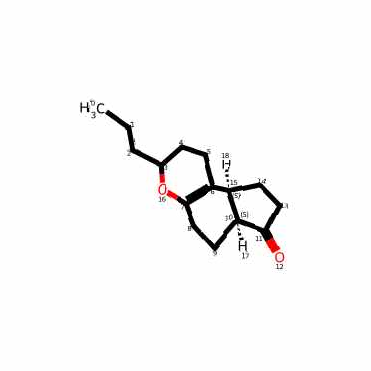 CCCC1CCC2=C(CC[C@@H]3C(=O)CC[C@H]23)O1